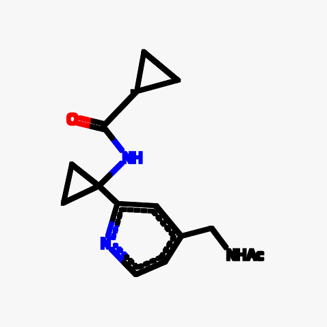 CC(=O)NCc1ccnc(C2(NC(=O)[C]3CC3)CC2)c1